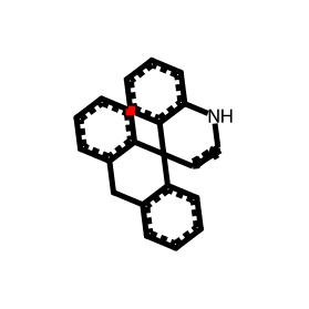 c1ccc2c(c1)Cc1ccccc1C21c2ccccc2Nc2ccccc21